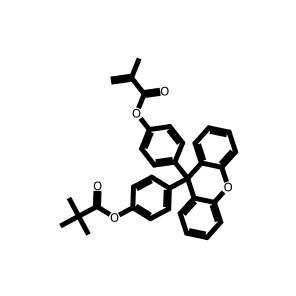 C=C(C)C(=O)Oc1ccc(C2(c3ccc(OC(=O)C(C)(C)C)cc3)c3ccccc3Oc3ccccc32)cc1